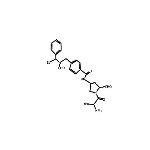 CCC(c1ccccc1)N(C=O)Cc1ccc(C(=O)NC2CC(C=O)N(C(=O)C(NC)C(C)(C)C)C2)cc1